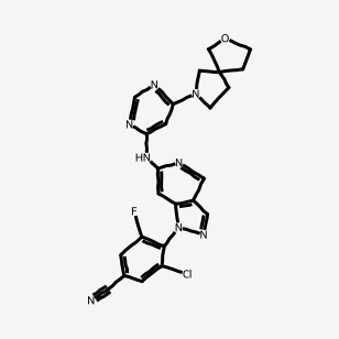 N#Cc1cc(F)c(-n2ncc3cnc(Nc4cc(N5CCC6(CCOC6)C5)ncn4)cc32)c(Cl)c1